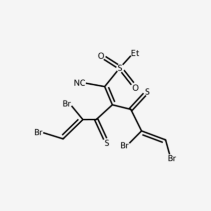 CCS(=O)(=O)C(C#N)=C(C(=S)C(Br)=CBr)C(=S)C(Br)=CBr